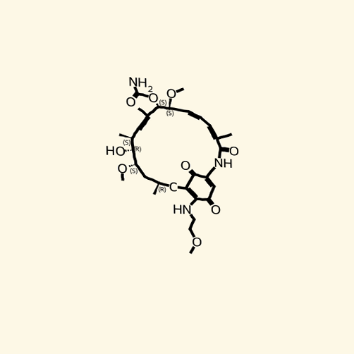 COCCNC1=C2C[C@@H](C)C[C@H](OC)[C@H](O)[C@@H](C)C=C(C)[C@H](OC(N)=O)[C@@H](OC)C=CC=C(C)C(=O)NC(=CC1=O)C2=O